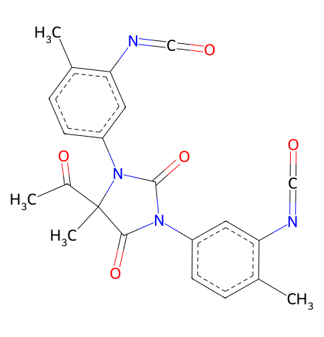 CC(=O)C1(C)C(=O)N(c2ccc(C)c(N=C=O)c2)C(=O)N1c1ccc(C)c(N=C=O)c1